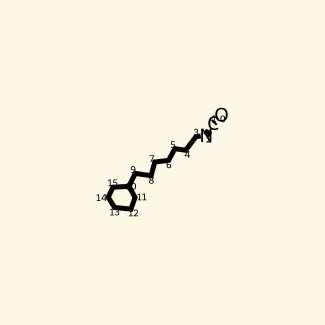 O=C=NCCCCCCCC1CCCCC1